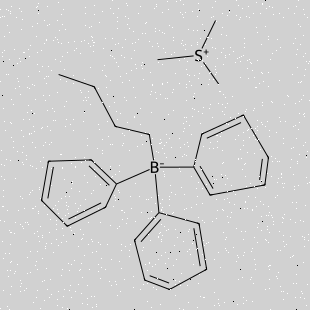 CCCC[B-](c1ccccc1)(c1ccccc1)c1ccccc1.C[S+](C)C